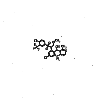 COCN(c1cc(Cl)cnc1C(O)c1c(C)ccnc1C)S(=O)(=O)c1ccc(Cl)c(C(F)(F)F)c1